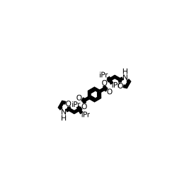 CC(C)C(CC1NCCO1)(OC(=O)c1ccc(C(=O)OC(CC2NCCO2)(C(C)C)C(C)C)cc1)C(C)C